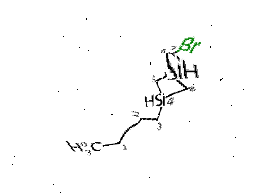 CCCC[SiH]1C[SiH](Br)C1